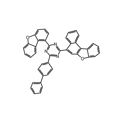 c1ccc(-c2ccc(-c3nc(-c4cc5oc6ccccc6c5c5ccccc45)nc(-c4cccc5oc6ccccc6c45)n3)cc2)cc1